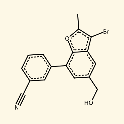 Cc1oc2c(-c3cccc(C#N)c3)cc(CO)cc2c1Br